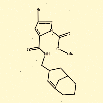 CC(C)(C)OC(=O)n1cc(Br)cc1C(=O)NCC1C=C2CCCC(C2)C1